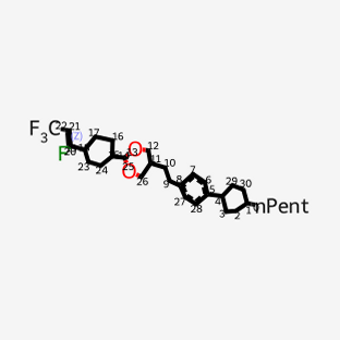 CCCCCC1CCC(c2ccc(CCC3COC(C4CCC(/C(F)=C/C(F)(F)F)CC4)OC3)cc2)CC1